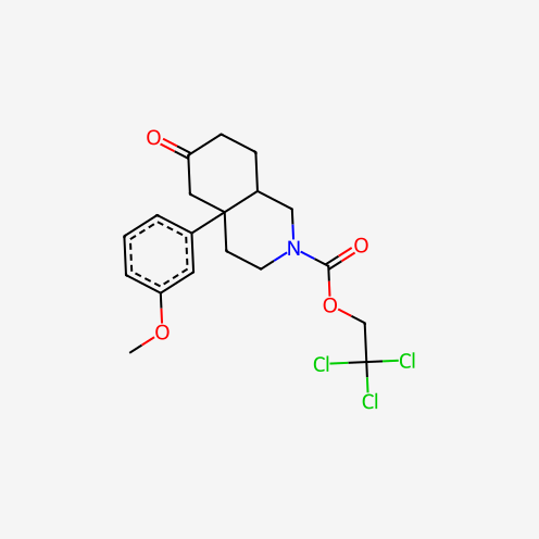 COc1cccc(C23CCN(C(=O)OCC(Cl)(Cl)Cl)CC2CCC(=O)C3)c1